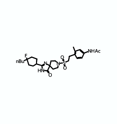 CCCCC1(F)CCC(C2=NC3(CCN(S(=O)(=O)CCc4ccc(NC(C)=O)cc4C)CC3)C(=O)N2)CC1